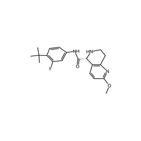 COc1ccc2c(n1)CCN[C@H]2C(=O)Nc1ccc(C(C)(C)C)c(F)c1